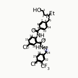 CCN(CCO)Cc1ccc(C(=O)Nc2ccc(Cl)cc2C(=O)N/N=C\c2ccc(Cl)c(C(F)(F)F)c2)cc1